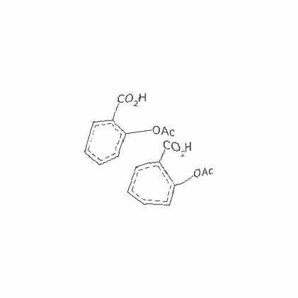 CC(=O)Oc1ccccc1C(=O)O.CC(=O)Oc1ccccc1C(=O)O